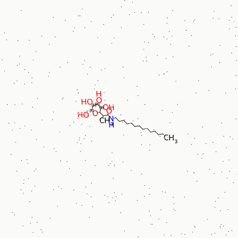 CCCCCCCCCCCCCCNC(=O)C(C)C1O[C@H](CO)[C@@H](O)[C@H](O)[C@H]1O